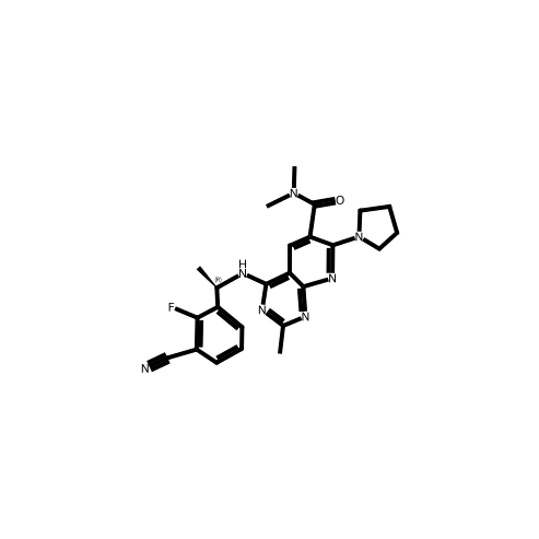 Cc1nc(N[C@H](C)c2cccc(C#N)c2F)c2cc(C(=O)N(C)C)c(N3CCCC3)nc2n1